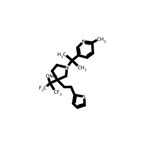 COC(C(F)(F)F)(C(F)(F)F)C1(CCc2cccs2)CCN(C(C)(C)c2ccc(C)nc2)C1